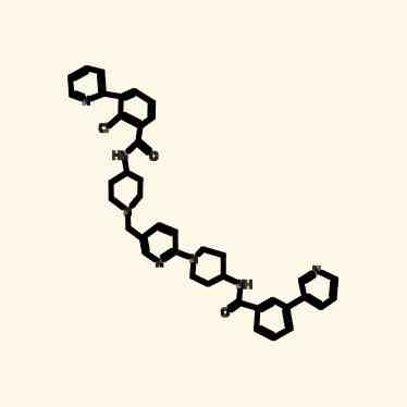 O=C(NC1CCN(c2ccc(CN3CCC(NC(=O)c4cccc(-c5ccccn5)c4Cl)CC3)cn2)CC1)c1cccc(-c2cccnc2)c1